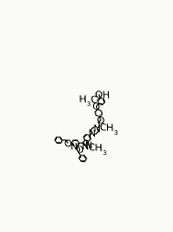 Cc1c(O)cccc1OC1CCC(OCC(C)N2CCN(c3ccc4c(-c5ccc(OCc6ccccc6)nc5OCc5ccccc5)nn(C)c4c3)CC2)CC1